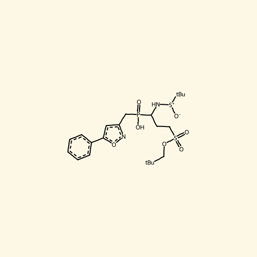 CC(C)(C)COS(=O)(=O)CCC(N[S+]([O-])C(C)(C)C)P(=O)(O)Cc1cc(-c2ccccc2)on1